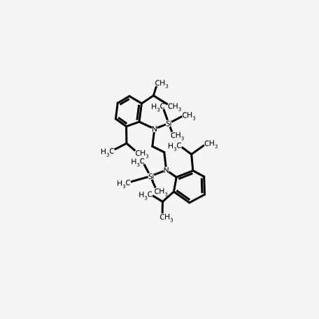 CC(C)c1cccc(C(C)C)c1N(CCN(c1c(C(C)C)cccc1C(C)C)[Si](C)(C)C)[Si](C)(C)C